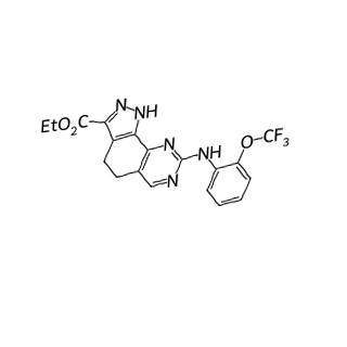 CCOC(=O)c1n[nH]c2c1CCc1cnc(Nc3ccccc3OC(F)(F)F)nc1-2